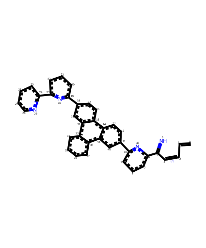 C=C/C=C\C(=N)c1cccc(-c2ccc3c4ccc(-c5cccc(-c6ccccn6)n5)cc4c4ccccc4c3c2)n1